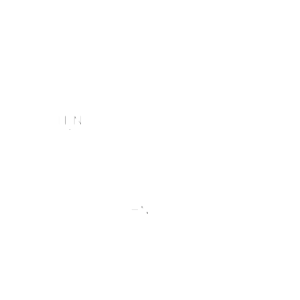 Nc1ccccc1-c1ccc2c(c1)[nH]c1ccccc12